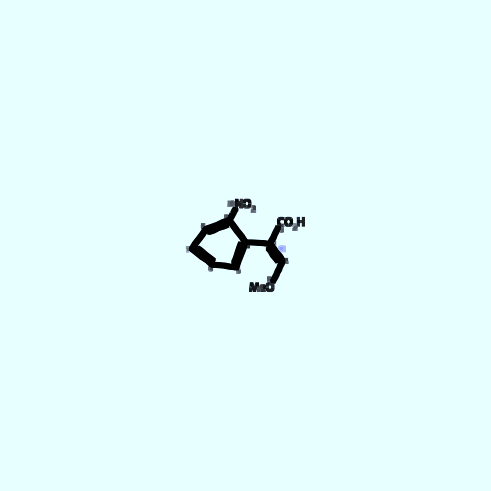 CO/C=C(/C(=O)O)c1ccccc1[N+](=O)[O-]